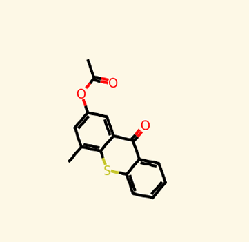 CC(=O)Oc1cc(C)c2sc3ccccc3c(=O)c2c1